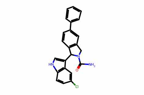 NC(=O)N1Cc2cc(-c3ccccc3)ccc2C1c1c[nH]c2ccc(Cl)cc12